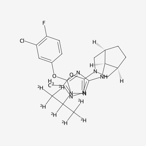 [2H]C([2H])([2H])C([2H])(n1nc(N[C@H]2[C@@H]3CC[C@H]2CN(c2nnc(C)o2)C3)nc1Oc1ccc(F)c(Cl)c1)C([2H])([2H])[2H]